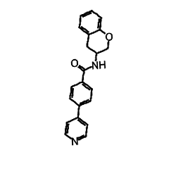 O=C(NC1COc2ccccc2C1)c1ccc(-c2ccncc2)cc1